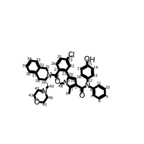 Cc1c(C(=O)N(c2ccccc2)c2ccc(O)cc2)cc(-c2cc(Cl)ccc2C(=O)N2Cc3ccccc3C[C@H]2CN2CCOCC2)n1C